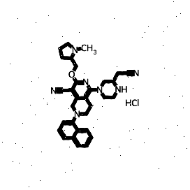 CN1CCCC1COc1nc(N2CCNC(CC#N)C2)c2c(c1C#N)CN(c1cccc3ccccc13)CC2.Cl